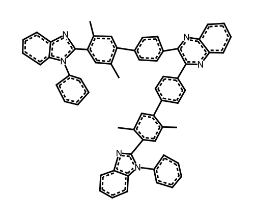 Cc1cc(-c2nc3ccccc3n2-c2ccccc2)c(C)cc1-c1ccc(-c2nc3ccccc3nc2-c2ccc(-c3cc(C)c(-c4nc5ccccc5n4-c4ccccc4)cc3C)cc2)cc1